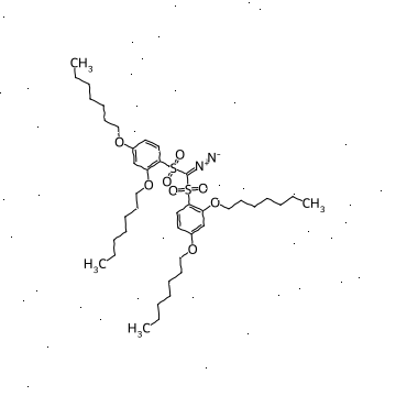 CCCCCCCOc1ccc(S(=O)(=O)C(=[N+]=[N-])S(=O)(=O)c2ccc(OCCCCCCC)cc2OCCCCCCC)c(OCCCCCCC)c1